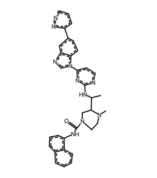 CC(Nc1nccc(-n2cnc3cc(-c4cccnn4)ccc32)n1)C1CN(C(=O)Nc2cccc3ccccc23)CCN1C